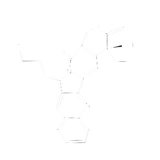 CC[C@@]1(O)C(=O)OCc2c1cc1n(c2=O)C(OCCF)c2cc3ccccc3nc2-1